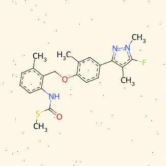 CSC(=O)Nc1cccc(C)c1COc1ccc(-c2nn(C)c(F)c2C)cc1C